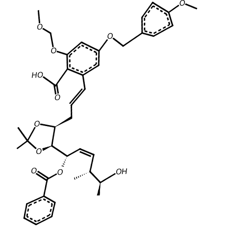 COCOc1cc(OCc2ccc(OC)cc2)cc(/C=C/C[C@@H]2OC(C)(C)O[C@@H]2[C@H](/C=C\[C@@H](C)[C@H](C)O)OC(=O)c2ccccc2)c1C(=O)O